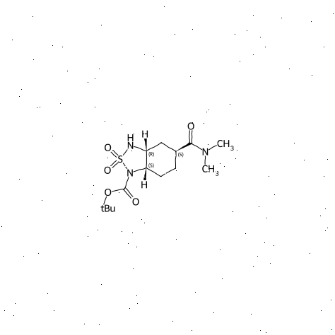 CN(C)C(=O)[C@H]1CC[C@H]2[C@@H](C1)NS(=O)(=O)N2C(=O)OC(C)(C)C